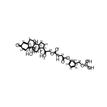 C[C@]12C[C@H](O)C3(F)[C@@H](CCC4=CC(=O)C=C[C@@]43C)C1CCC2C(=O)COC(=O)NCC(=O)Oc1cccc(CON(O)O)c1